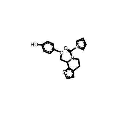 O=C(N1CCc2ccsc2C1COc1ccc(O)cc1)n1cccc1